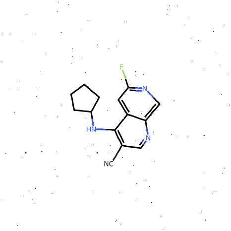 N#Cc1cnc2cnc(F)cc2c1NC1CCCC1